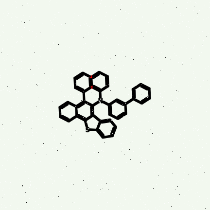 c1ccc(-c2cccc(N(c3ccccc3)c3c(-c4ccccc4)c4ccccc4c4sc5ccccc5c34)c2)cc1